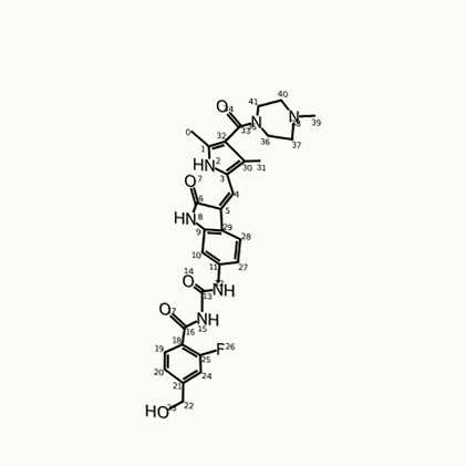 Cc1[nH]c(/C=C2\C(=O)Nc3cc(NC(=O)NC(=O)c4ccc(CO)cc4F)ccc32)c(C)c1C(=O)N1CCN(C)CC1